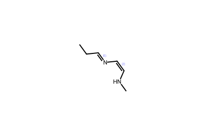 CC/C=N/C=C\NC